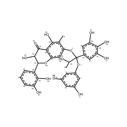 Cc1c(OC(Oc2cc(O)cc(O)c2)(c2cc(O)c(O)c(O)c2)C(C)O)cc2c(c1O)C(=O)C(O)C(c1cccc(O)c1O)O2